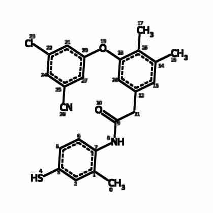 Cc1cc(S)ccc1NC(=O)Cc1cc(C)c(C)c(Oc2cc(Cl)cc(C#N)c2)c1